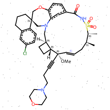 CO[C@@]1(C#CCCN2CCOCC2)/C=C/C[C@H](C)[C@@H](C)S(=O)(=O)NC(=O)c2ccc3c(c2)N(C[C@@H]2CC[C@H]21)C[C@@]1(CCCc2cc(Cl)ccc21)CO3